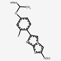 CCCCCCCCc1cn2cc(-c3ccc(OC(C)CCCCCC)cc3F)nc2s1